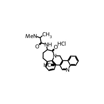 C#Cc1cnc2ccccc2c1CN1C(=O)C(NC(=O)C(C)NC)CCc2ccccc21.Cl